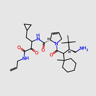 C=CCNC(=O)C(=O)C(CC1CC1)NC(=O)[C@@H]1C=CCN1C(=O)C([C@H](CN)C(C)(C)C)C1(C)CCCCC1